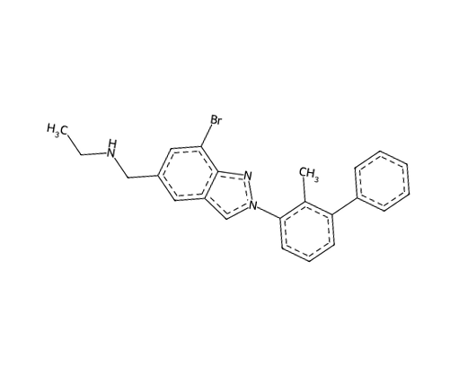 CCNCc1cc(Br)c2nn(-c3cccc(-c4ccccc4)c3C)cc2c1